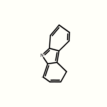 [C]1=C2N=c3ccccc3=C2CC=C1